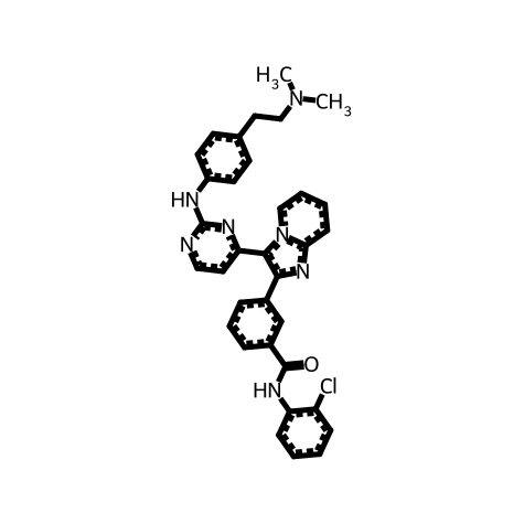 CN(C)CCc1ccc(Nc2nccc(-c3c(-c4cccc(C(=O)Nc5ccccc5Cl)c4)nc4ccccn34)n2)cc1